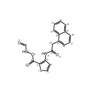 O=CNOC(=O)c1sccc1NC(=O)Cc1cccc2ccccc12